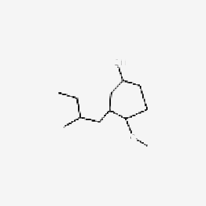 CCC(C)CC1CC(O)CCC1OC